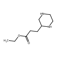 CCOC(=O)CCC1CNCCN1